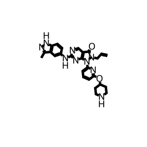 C=CCn1c(=O)c2cnc(Nc3ccc4[nH]nc(C)c4c3)nc2n1-c1cccc(OC2CCNCC2)n1